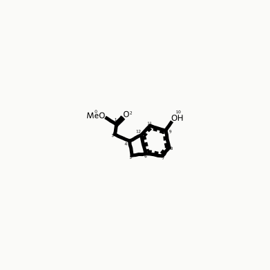 COC(=O)CC1Cc2ccc(O)cc21